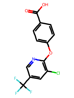 O=C(O)c1ccc(Oc2ncc(C(F)(F)F)cc2Cl)cc1